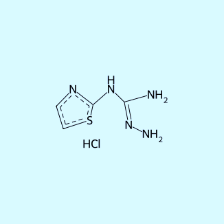 Cl.NN=C(N)Nc1nccs1